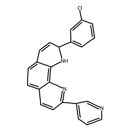 Clc1cccc(C2C=Cc3ccc4ccc(-c5cccnc5)nc4c3N2)c1